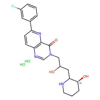 Cl.Cl.O=c1c2nc(-c3cccc(F)c3)ccc2ncn1CC(O)CC1NCCC[C@@H]1O